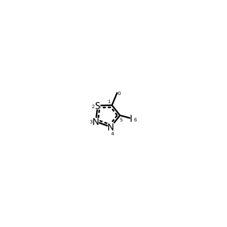 Cc1snnc1I